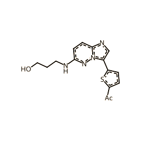 CC(=O)c1ccc(-c2cnc3ccc(NCCCO)nn23)s1